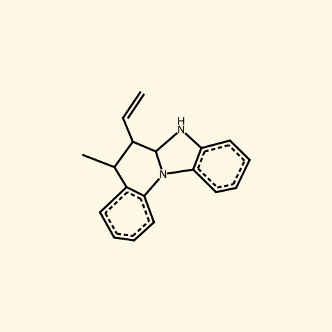 C=CC1C(C)c2ccccc2N2c3ccccc3NC12